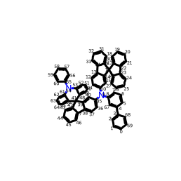 c1ccc(-c2cccc(N(c3ccc4c(c3)C3(c5ccccc5-c5ccccc53)c3ccccc3-4)c3ccc4c(c3)C3(c5ccccc5-4)c4ccccc4N(c4ccccc4)c4ccccc43)c2)cc1